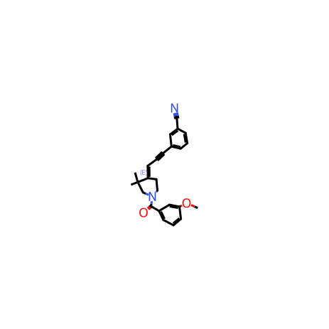 COc1cccc(C(=O)N2CC/C(=C\C#Cc3cccc(C#N)c3)C(C)(C)C2)c1